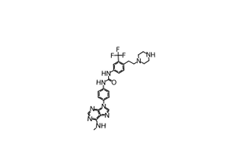 CNc1ncnc2c1ncn2-c1ccc(NC(=O)Nc2ccc(CCN3CCNCC3)c(C(F)(F)F)c2)cc1